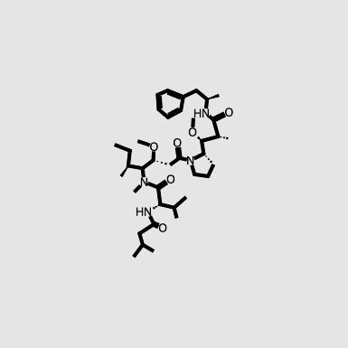 CC[C@H](C)C([C@@H](CC(=O)N1CCC[C@H]1[C@H](OC)[C@@H](C)C(=O)N[C@H](C)Cc1ccccc1)OC)N(C)C(=O)[C@@H](NC(=O)CC(C)C)C(C)C